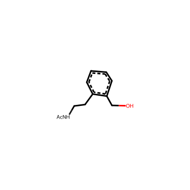 CC(=O)NCCc1ccccc1CO